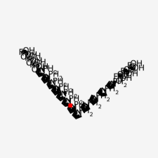 O=P(O)(O)F.O=P(O)(O)F.O=P(O)(O)F.O=P(O)(O)F.O=P(O)(O)F.O=P(O)(O)F.PN1CCCC1.PN1CCCC1.PN1CCCC1.PN1CCCC1.PN1CCCC1.PN1CCCC1.PN1CCCC1.PN1CCCC1.PN1CCCC1.PN1CCCC1.PN1CCCC1.PN1CCCC1